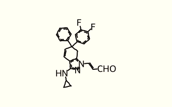 O=CC=Cn1nc(NC2CC2)c2c1CC(c1ccccc1)(c1ccc(F)c(F)c1)C=C2